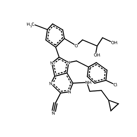 Cc1ccc(OCC(O)CO)c(-c2nc3nc(C#N)nc(NCCC4CC4)c3n2Cc2ccc(Cl)cc2)c1